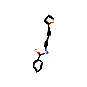 O=C(NC#CC#Cc1cccs1)c1ccccc1